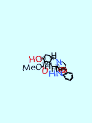 COC(=O)[C@@H]1[C@H]2C[C@@H]3N(CC[C@@]45OCO[C@@]34Nc3ccccc35)C[C@@H]2CC[C@@H]1O